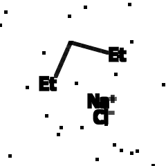 [CH2]CCCC.[Cl-].[Na+]